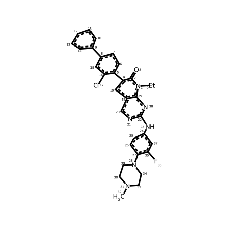 CCn1c(=O)c(-c2ccc(-c3ccccc3)cc2Cl)cc2cnc(Nc3ccc(N4CCN(C)CC4)c(F)c3)nc21